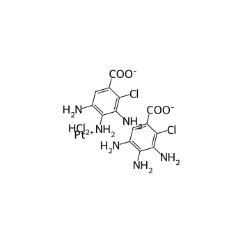 Cl.Nc1cc(C(=O)[O-])c(Cl)c(N)c1N.Nc1cc(C(=O)[O-])c(Cl)c(N)c1N.[Pt+2]